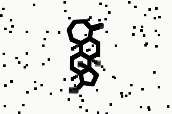 C[C@]12CCCCC(=O)C1CC[C@@H]1C2CC[C@]2(C)C(O)CC[C@@H]12